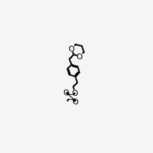 CS(=O)(=O)OCCc1ccc(CC2OCCCO2)cc1